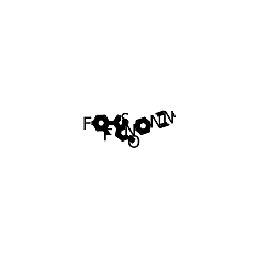 CN1CCN(c2ccc(-n3c(=O)ccc4c(-c5ccc(F)cc5F)csc43)cc2)CC1